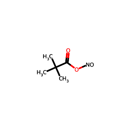 CC(C)(C)C(=O)ON=O